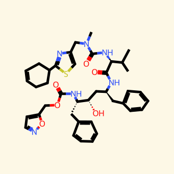 CC(C)[C@H](NC(=O)N(C)Cc1csc(C2CC=CCC2)n1)C(=O)N[C@@H](Cc1ccccc1)C[C@H](O)[C@H](Cc1ccccc1)NC(=O)OCc1ccno1